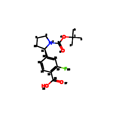 CC(C)(C)OC(=O)N1CCC[C@@H]1c1ccc(C(=O)O)c(F)c1